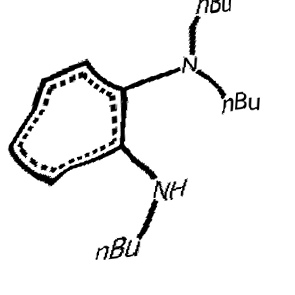 CCCCNc1ccccc1N(CCCC)CCCC